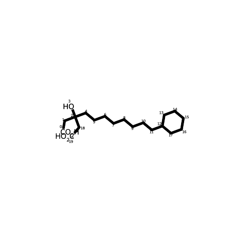 O=C(O)CC(O)(CCCCCCCCC1CCCCC1)CC(=O)O